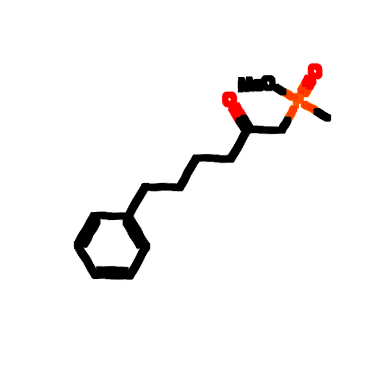 COP(C)(=O)CC(=O)CCCCc1ccccc1